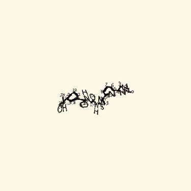 Cn1ncc(-c2cccc(-c3csc(NC(=O)CNC(=O)c4cccc(C(C)(C)CO)c4)n3)n2)n1